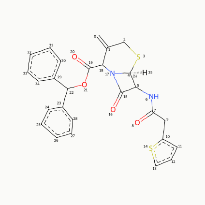 C=C1CS[C@H]2C(NC(=O)Cc3cccs3)C(=O)N2C1C(=O)OC(c1ccccc1)c1ccccc1